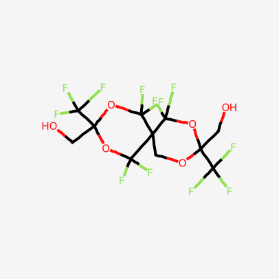 OCC1(C(F)(F)F)OCC2(C(F)(F)O1)C(F)(F)OC(CO)(C(F)(F)F)OC2(F)F